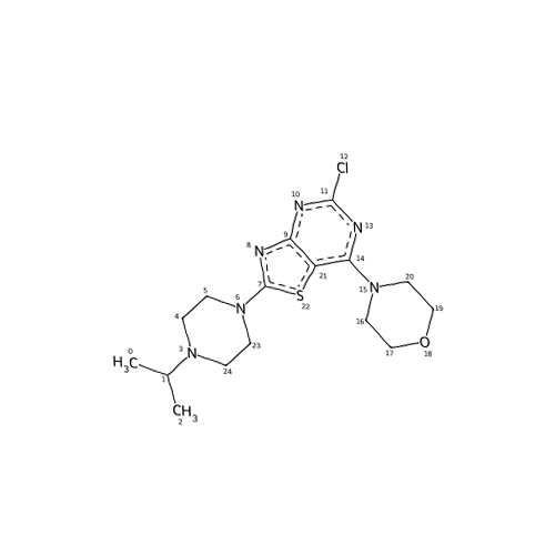 CC(C)N1CCN(c2nc3nc(Cl)nc(N4CCOCC4)c3s2)CC1